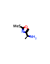 CSc1nc([C@H](C)N)co1